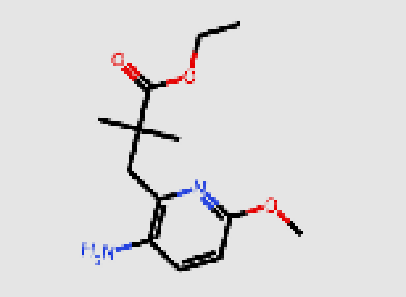 CCOC(=O)C(C)(C)Cc1nc(OC)ccc1N